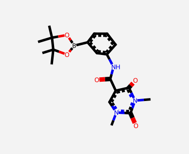 Cn1cc(C(=O)Nc2cccc(B3OC(C)(C)C(C)(C)O3)c2)c(=O)n(C)c1=O